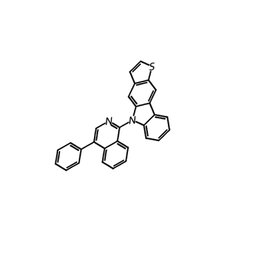 c1ccc(-c2cnc(-n3c4ccccc4c4cc5sccc5cc43)c3ccccc23)cc1